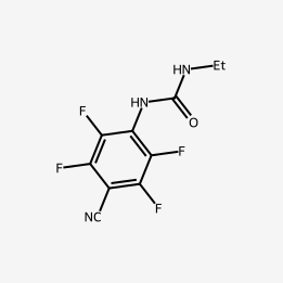 CCNC(=O)Nc1c(F)c(F)c(C#N)c(F)c1F